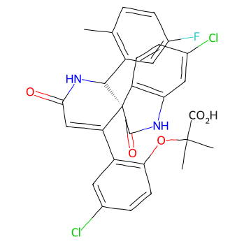 Cc1ccc(F)cc1C1NC(=O)C=C(c2cc(Cl)ccc2OC(C)(C)C(=O)O)[C@@]12C(=O)Nc1cc(Cl)ccc12